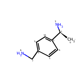 [CH2][C@H](N)c1ccc(CN)cc1